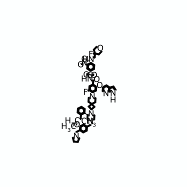 COc1cc(CN2CCN(C3CC4(CCN(c5cc(Oc6cnc7[nH]ccc7c6)c(C(=O)NS(=O)(=O)c6ccc(NCC7(F)CCOCC7)c([N+](=O)[O-])c6)cc5F)CC4)C3)[C@H](c3ccccc3C(C)C)C2)ccc1CN1CCCC1